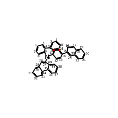 c1ccc(-c2ccccc2N(c2ccc(-c3ccc4ccccc4c3)cc2)c2cc3ccccc3c3ccccc23)cc1